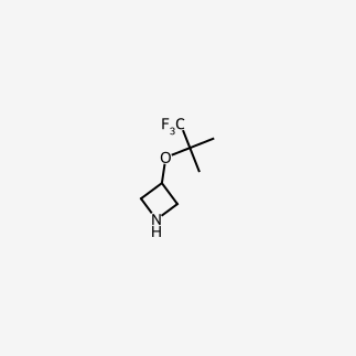 CC(C)(OC1CNC1)C(F)(F)F